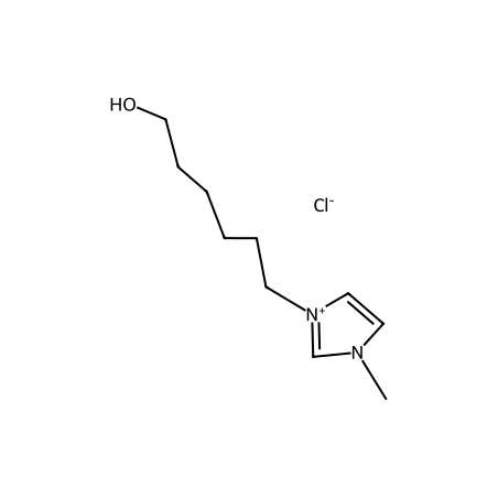 Cn1cc[n+](CCCCCCO)c1.[Cl-]